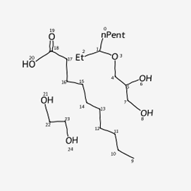 CCCCCC(CC)OCC(O)CO.CCCCCCCCCC(=O)O.OCCO